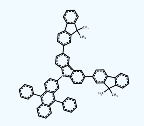 CC1(C)c2ccccc2-c2ccc(-c3ccc4c(c3)c3cc(-c5ccc6c(c5)C(C)(C)c5ccccc5-6)ccc3n4-c3ccc4c(-c5ccccc5)c5ccccc5c(-c5ccccc5)c4c3)cc21